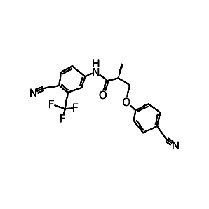 C[C@@H](COc1ccc(C#N)cc1)C(=O)Nc1ccc(C#N)c(C(F)(F)F)c1